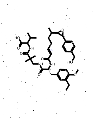 CCc1cc(C[C@@H](NC(=O)/C=C/CCC(C)C2OC2c2ccc(CO)cc2)C(=O)NCC(C)(C)C(=O)NC(C(=O)O)C(C)C)ccc1OC